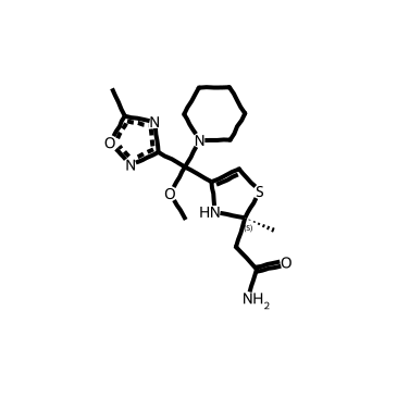 COC(C1=CS[C@@](C)(CC(N)=O)N1)(c1noc(C)n1)N1CCCCC1